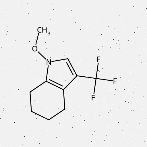 COn1cc(C(F)(F)F)c2c1CCCC2